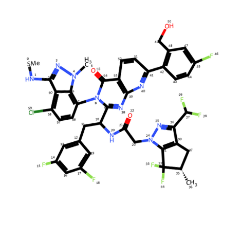 CSNc1nn(C)c2c(-n3c(C(Cc4cc(F)cc(F)c4)NC(=O)Cn4nc(C(F)F)c5c4C(F)(F)[C@@H](C)C5)nc4nc(-c5ccc(F)cc5CO)ccc4c3=O)ccc(Cl)c12